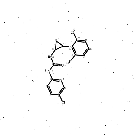 O=C(Nc1ccc(Cl)cn1)NC1CC1c1c(F)cccc1Cl